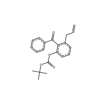 C=CCc1cccc(OC(=O)OC(C)(C)C)c1C(=O)c1ccccc1